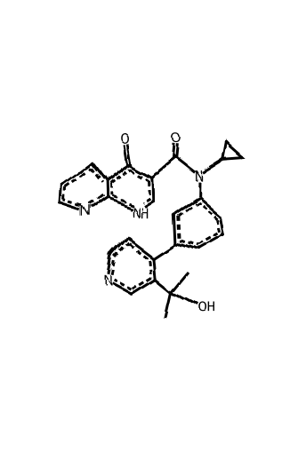 CC(C)(O)c1cnccc1-c1cccc(N(C(=O)c2c[nH]c3ncccc3c2=O)C2CC2)c1